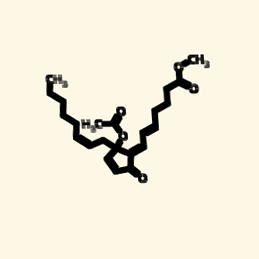 CCCCC/C=C\CC1(OC(C)=O)C=CC(=O)/C1=C/C=C/CCCC(=O)OC